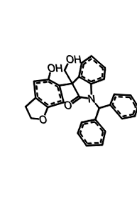 O=C1N(C(c2ccccc2)c2ccccc2)c2ccccc2C1(CO)c1cc2c(cc1O)CCO2